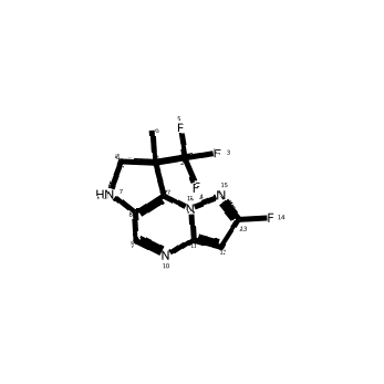 CC1(C(F)(F)F)CNc2cnc3cc(F)nn3c21